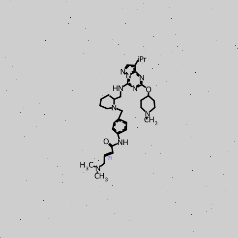 CC(C)c1cnn2c(NCC3CCCCN3Cc3ccc(NC(=O)/C=C/CN(C)C)cc3)nc(OC3CCN(C)CC3)nc12